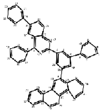 c1ccc(-c2cc(-c3nc(-c4ccccc4)c4cc(-c5ccccc5)ccc4n3)cc(-c3cc4c5ccccc5ccc4c4ccccc34)c2)cc1